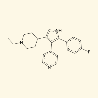 CCN1CCC(c2c[nH]c(-c3ccc(F)cc3)c2-c2ccncc2)CC1